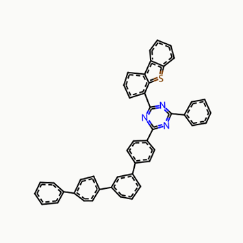 c1ccc(-c2ccc(-c3cccc(-c4ccc(-c5nc(-c6ccccc6)nc(-c6cccc7c6sc6ccccc67)n5)cc4)c3)cc2)cc1